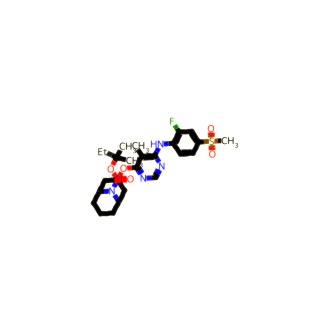 CCC(C)(C)OC(=O)N1C2CCCC1CC(Oc1ncnc(Nc3ccc(S(C)(=O)=O)cc3F)c1C)C2